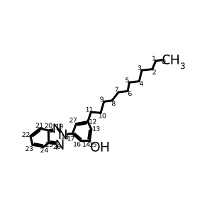 CCCCCCCCCCCCc1cc(O)cc(-n2nc3ccccc3n2)c1